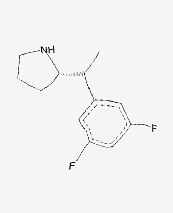 CC(c1cc(F)cc(F)c1)[C@@H]1CCCN1